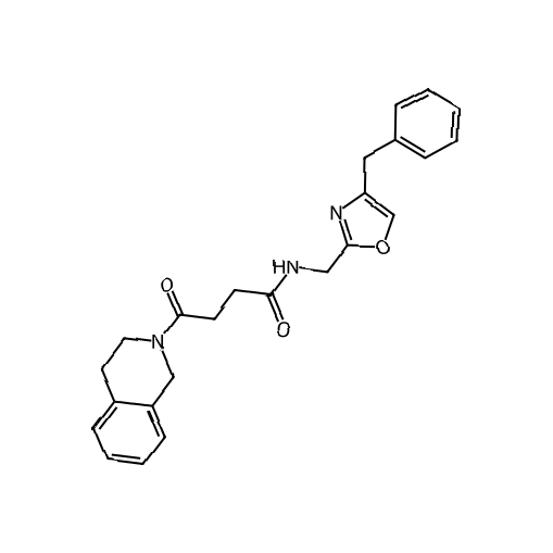 O=C(CCC(=O)N1CCc2ccccc2C1)NCc1nc(Cc2ccccc2)co1